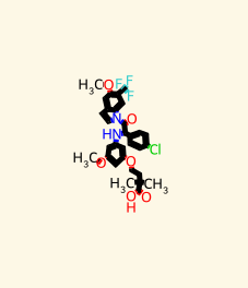 COc1cc(NC(C(=O)n2ccc3cc(OC)c(C(F)(F)F)cc32)c2ccc(Cl)cc2)cc(OCCC(C)(C)C(=O)O)c1